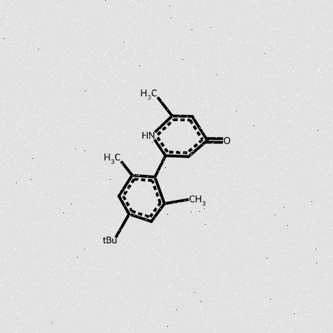 Cc1cc(=O)cc(-c2c(C)cc(C(C)(C)C)cc2C)[nH]1